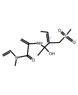 C=CN(C)C(=O)C(=C)NC(C)(O)/C(=C\C)CS(C)(=O)=O